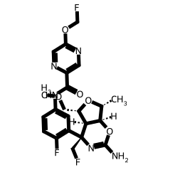 COC[C@@H]1O[C@H](C)[C@H]2OC(N)=N[C@](CF)(c3cc(NC(=O)c4cnc(OCF)cn4)ccc3F)[C@H]21